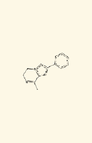 CC1=NCCn2cc(-c3ccccc3)cc21